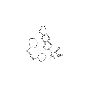 C(=NC1CCCCC1)=NC1CCCCC1.COc1ccc2cc([C@H](C)C(=O)O)ccc2c1